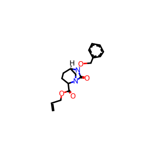 C=CCOC(=O)C1CC[C@@H]2CN1C(=O)N2OCc1ccccc1